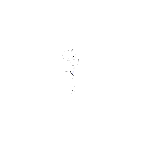 C/C(=C\CCC(C)(C)C)[C@H]1CC[C@H]2C(=O)CCC[C@]12C